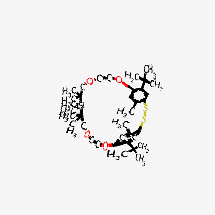 Cc1cc2c(C(C)(C)C)cc1SSc1cc(C(C)(C)C)c(cc1C)OCCOCC(C)(C)[Si](C)(C)C(C)(C)COCCO2